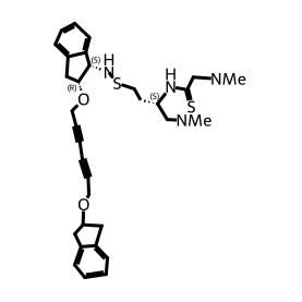 CNCC(=S)N[C@@H](CCSN[C@H]1c2ccccc2C[C@H]1OCC#CC#CCOC1Cc2ccccc2C1)CNC